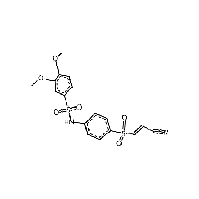 COc1ccc(S(=O)(=O)Nc2ccc(S(=O)(=O)/C=C/C#N)cc2)cc1OC